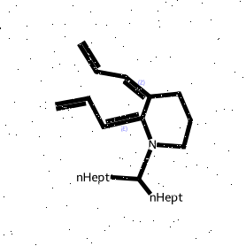 C=C/C=C1/CCCN(C(CCCCCCC)CCCCCCC)/C1=C/C=C